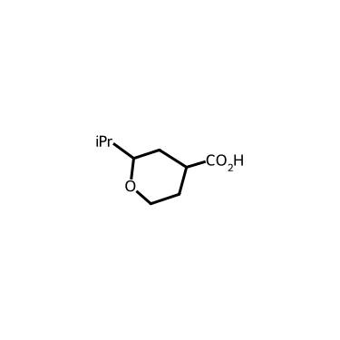 CC(C)C1CC(C(=O)O)CCO1